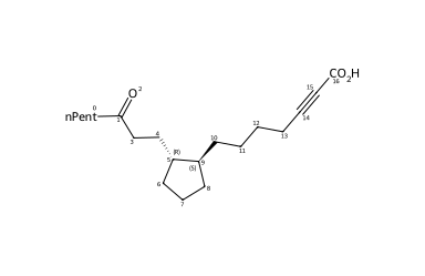 CCCCCC(=O)CC[C@H]1CCC[C@@H]1CCCCC#CC(=O)O